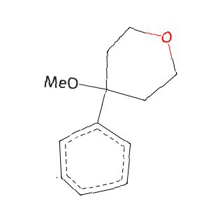 COC1(c2c[c]ccc2)CCOCC1